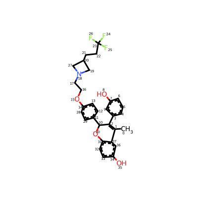 CC1=C(c2cccc(O)c2)C(c2ccc(OCCN3CC(CCC(F)(F)F)C3)cc2)Oc2ccc(O)cc21